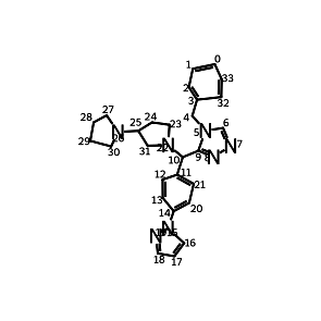 c1ccc(Cn2cnnc2C(c2ccc(-n3cccn3)cc2)N2CCC(N3CCCC3)C2)cc1